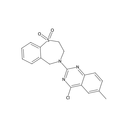 Cc1ccc2nc(N3CCS(=O)(=O)c4ccccc4C3)nc(Cl)c2c1